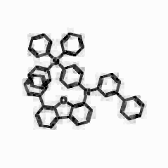 c1ccc(-c2cccc(N(c3ccc([Si](c4ccccc4)(c4ccccc4)c4ccccc4)cc3)c3cccc4c3oc3c(-c5ccccc5)cccc34)c2)cc1